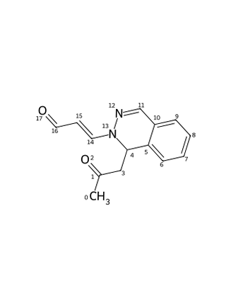 CC(=O)CC1c2ccccc2C=NN1C=CC=O